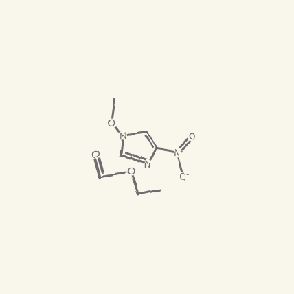 CCOC=O.COn1cnc([N+](=O)[O-])c1